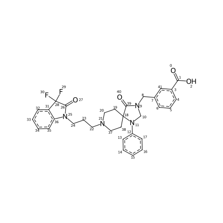 O=C(O)c1cccc(CN2CN(c3ccccc3)C3(CCN(CCCN4C(=O)C(F)(F)c5ccccc54)CC3)C2=O)c1